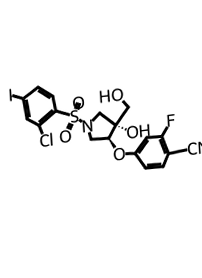 N#Cc1ccc(O[C@H]2CN(S(=O)(=O)c3ccc(I)cc3Cl)C[C@@]2(O)CO)cc1F